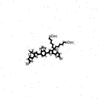 CCCCCCCCCCCCCCCC1(CCCCCCCCCCCCCCC)Oc2cc(Br)sc2-c2sc(-c3ccc(-c4cc5c(s4)-c4sc(Br)cc4OC5(C)C)c4nsnc34)cc21